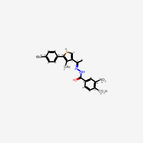 CC(=O)Oc1c(/C(C)=N/NC(=O)c2ccc(C(=O)O)c([N+](=O)[O-])c2)csc1-c1ccc(C(C)(C)C)cc1